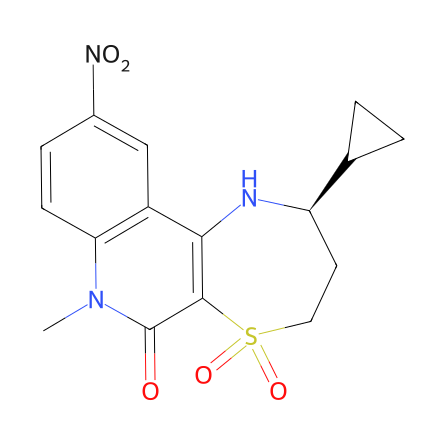 Cn1c(=O)c2c(c3cc([N+](=O)[O-])ccc31)N[C@@H](C1CC1)CCS2(=O)=O